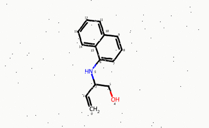 C=CC(CO)Nc1cccc2ccccc12